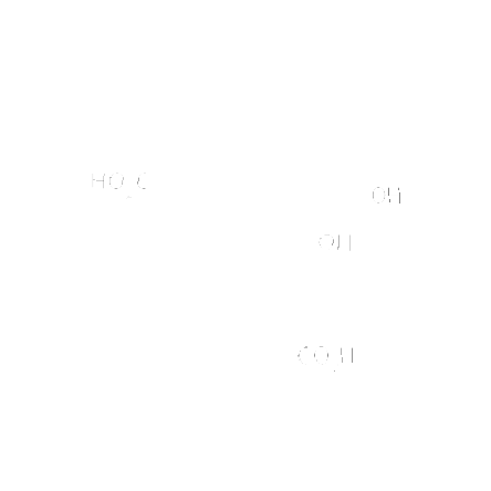 C=CO.C=CO.O=C(O)c1ccc(C(=O)O)cc1